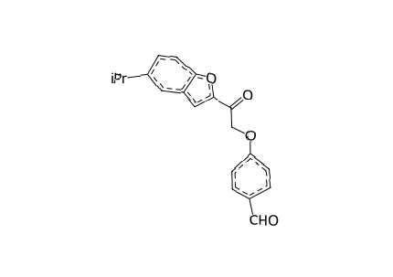 CC(C)c1ccc2oc(C(=O)COc3ccc(C=O)cc3)cc2c1